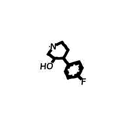 OC1C[N]CCC1c1ccc(F)cc1